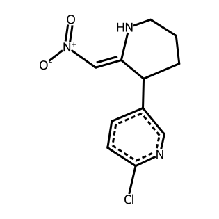 O=[N+]([O-])C=C1NCCCC1c1ccc(Cl)nc1